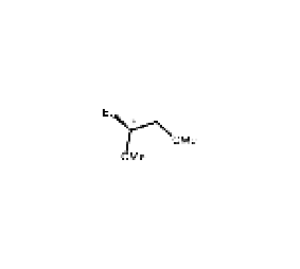 CC[C@@H](COC)OC